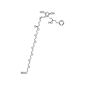 COCCOCCOCCOCCOCCOCCOCCOC(=O)CCC/C=C\C[C@@H]1[C@@H](CC[C@@H](O)CCc2ccccc2)[C@H](O)C[C@@H]1O